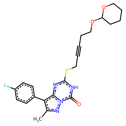 Cc1nn2c(=O)[nH]c(SCC#CCCOC3CCCCO3)nc2c1-c1ccc(F)cc1